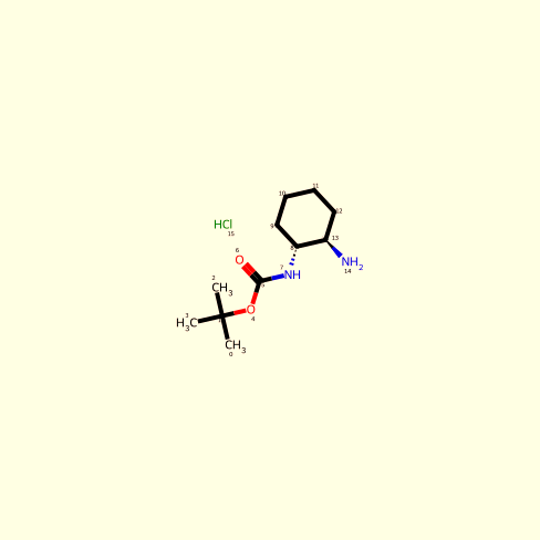 CC(C)(C)OC(=O)N[C@@H]1CCCC[C@H]1N.Cl